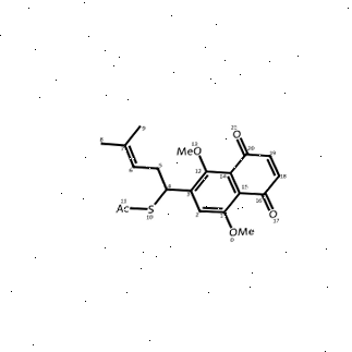 COc1cc(C(CC=C(C)C)SC(C)=O)c(OC)c2c1C(=O)C=CC2=O